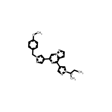 CC[C@@H](C)n1cc(-c2nc(-c3cnn(Cc4ccc(OC)cc4)c3)cn3nccc23)cn1